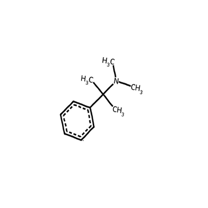 CN(C)C(C)(C)c1c[c]ccc1